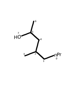 CCCCC(C)C[C](C)O